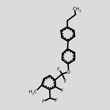 CCCc1ccc(-c2ccc(OC(F)(F)c3ccc(C)c(C(F)F)c3F)cc2)cc1